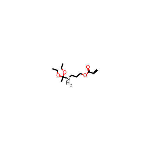 C=CC(=O)OCCC[SiH2]C(C)(OCC)OCC